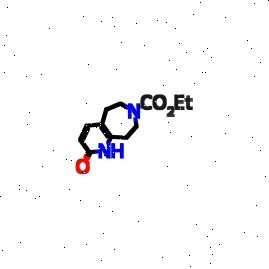 CCOC(=O)N1CCc2ccc(=O)[nH]c2CC1